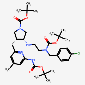 Cc1cc(C[C@@H]2CN(C(=O)OC(C)(C)C)C[C@@H]2NCCN(Cc2ccc(Cl)cc2)C(=O)OC(C)(C)C)nc(NC(=O)OC(C)(C)C)c1